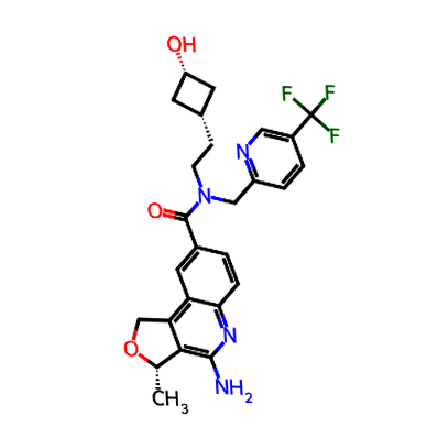 C[C@@H]1OCc2c1c(N)nc1ccc(C(=O)N(CC[C@H]3C[C@@H](O)C3)Cc3ccc(C(F)(F)F)cn3)cc21